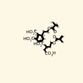 C=C(C)C(=O)OCCC(CC(=O)O)C(=O)O.C=C(C)C(=O)OCCc1cccc(C(=O)O)c1C(=O)O